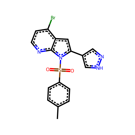 Cc1ccc(S(=O)(=O)n2c(-c3cn[nH]c3)cc3c(Br)ccnc32)cc1